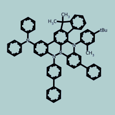 Cc1cc(C(C)(C)C)ccc1N1c2cc(-c3ccccc3)ccc2B2c3c(cc4c(c31)-c1ccccc1C4(C)C)-c1cc(N(c3ccccc3)c3ccccc3)ccc1N2c1ccc(-c2ccccc2)cc1